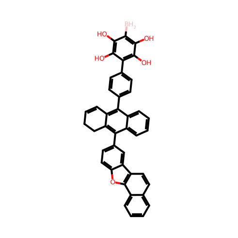 Bc1c(O)c(O)c(-c2ccc(-c3c4c(c(-c5ccc6oc7c8ccccc8ccc7c6c5)c5ccccc35)CCC=C4)cc2)c(O)c1O